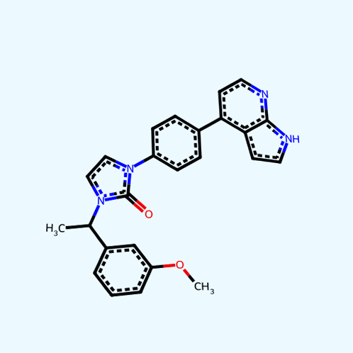 COc1cccc(C(C)n2ccn(-c3ccc(-c4ccnc5[nH]ccc45)cc3)c2=O)c1